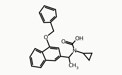 CC(c1cc(OCc2ccccc2)c2ccccc2c1)N(C(=O)O)C1CC1